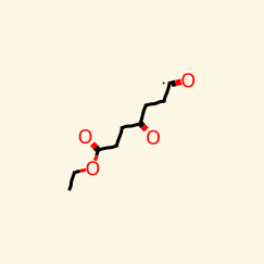 CCOC(=O)CCC(=O)CC[C]=O